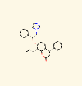 C=CCc1c(OC(Cn2ccnc2)c2ccccc2)ccc2c(-c3ccccc3)cc(=O)oc12